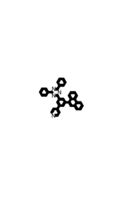 c1ccc(-c2nc(-c3ccccc3)nc(-c3cc(-c4ccncc4)cc(-c4cc5ccccc5c5ccccc45)c3)n2)cc1